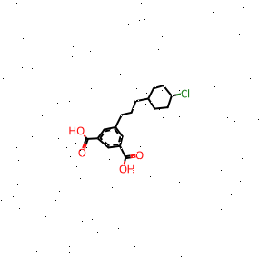 O=C(O)c1cc(CCCC2CCC(Cl)CC2)cc(C(=O)O)c1